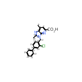 Cc1cc(C(=O)O)nc2c1nc(C)n2Cc1ccc(-c2ccccc2)cc1Cl